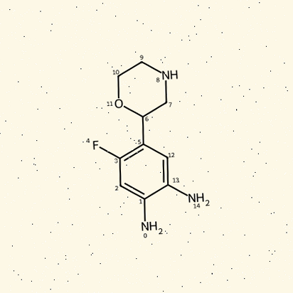 Nc1cc(F)c(C2CNCCO2)cc1N